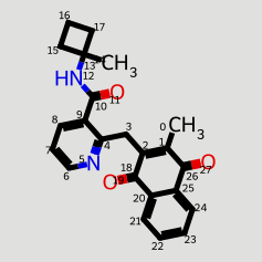 CC1=C(Cc2ncccc2C(=O)NC2(C)CCC2)C(=O)c2ccccc2C1=O